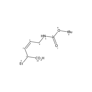 CCC(/C=C\CNC(=O)OC(C)(C)C)C(=O)O